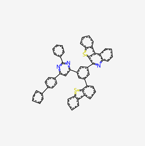 c1ccc(-c2ccc(-c3cc(-c4cc(-c5cccc6c5sc5ccccc56)cc(-c5nc6ccccc6c6c5sc5ccccc56)c4)nc(-c4ccccc4)n3)cc2)cc1